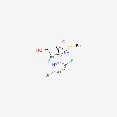 CC(C)(C)[S+]([O-])N[C@](C)(c1nc(Br)ccc1F)[C@@H](F)CO